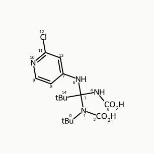 CC(C)(C)N(C(=O)O)C(NC(=O)O)(Nc1ccnc(Cl)c1)C(C)(C)C